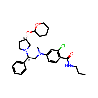 CCCNC(=O)c1ccc(N(C)C[C@@H](c2ccccc2)N2CC[C@H](OC3CCCCO3)C2)cc1Cl